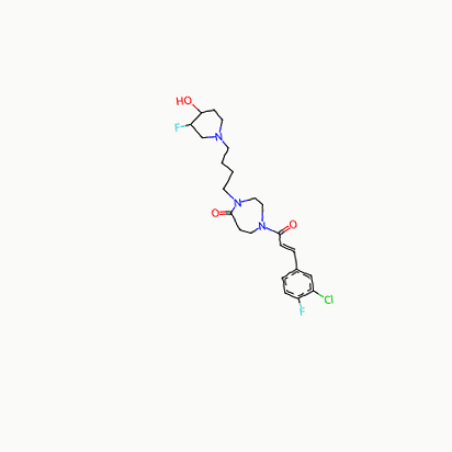 O=C(/C=C/c1ccc(F)c(Cl)c1)N1CCC(=O)N(CCCCN2CCC(O)C(F)C2)CC1